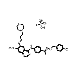 COc1cc2ncnc(Nc3ccc(C(C)=NOCc4ccc(Cl)cc4)cc3)c2cc1OCCCN1CCOCC1.O=P(O)(O)O